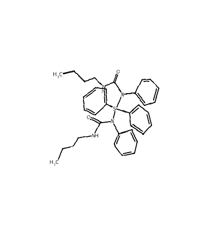 CCCCNC(=O)N(c1ccccc1)[Si](c1ccccc1)(c1ccccc1)N(C(=O)NCCCC)c1ccccc1